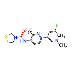 C=N/C=C(\C=C(/C)F)c1ccc(NC(=O)N2CCSC2)c(C(F)(F)F)n1